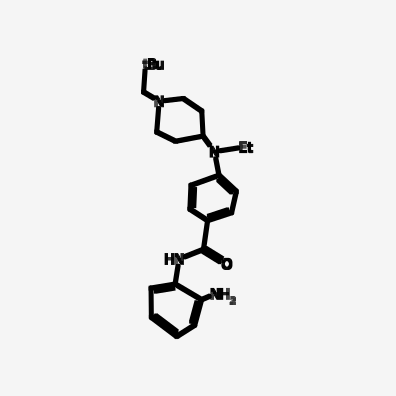 CCN(c1ccc(C(=O)Nc2ccccc2N)cc1)C1CCN(CC(C)(C)C)CC1